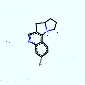 Brc1ccc2c3c(cnc2c1)CC1CCCN31